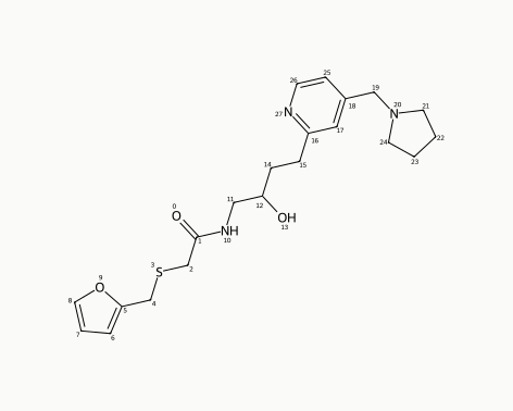 O=C(CSCc1ccco1)NCC(O)CCc1cc(CN2CCCC2)ccn1